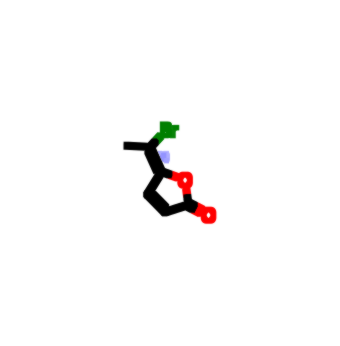 C/C(Br)=C1\C=CC(=O)O1